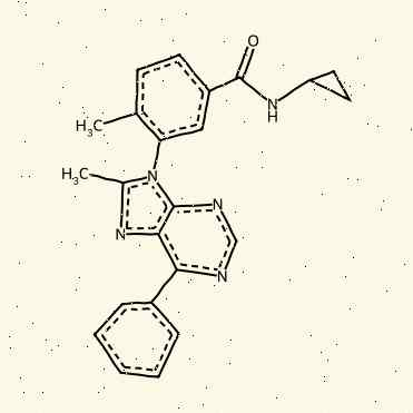 Cc1ccc(C(=O)NC2CC2)cc1-n1c(C)nc2c(-c3ccccc3)ncnc21